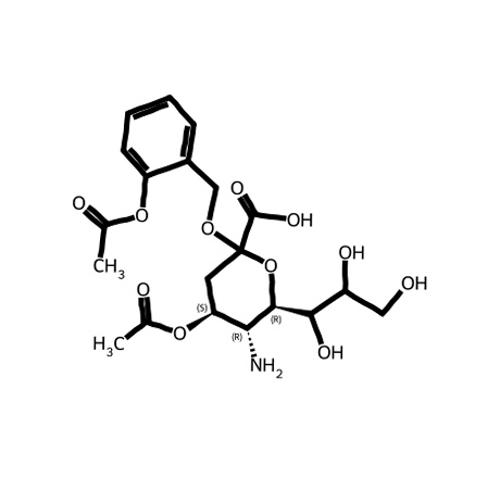 CC(=O)Oc1ccccc1COC1(C(=O)O)C[C@H](OC(C)=O)[C@@H](N)[C@H](C(O)C(O)CO)O1